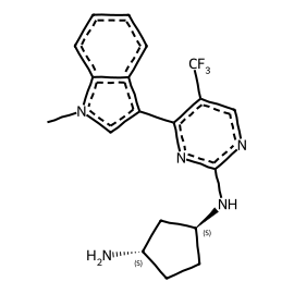 Cn1cc(-c2nc(N[C@H]3CC[C@H](N)C3)ncc2C(F)(F)F)c2ccccc21